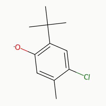 Cc1cc([O])c(C(C)(C)C)cc1Cl